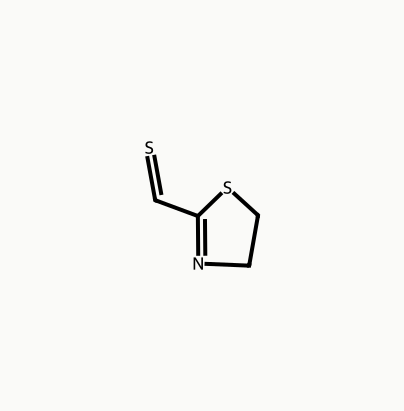 S=CC1=NCCS1